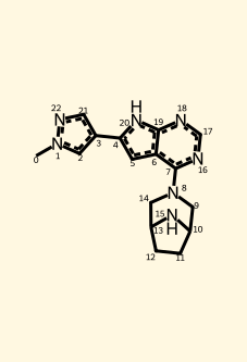 Cn1cc(-c2cc3c(N4CC5CCC(C4)N5)ncnc3[nH]2)cn1